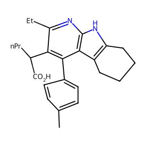 CCCC(C(=O)O)c1c(CC)nc2[nH]c3c(c2c1-c1ccc(C)cc1)CCCC3